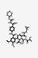 C=Cc1cc(C(=O)Nc2ccc(C(=N)NC(=O)OC3COCOC3)cc2)c(C2=CC=C(C(=O)NCC3CC3)N(C(C)OC(=O)C(C)C)C2C(=O)O)cc1OC